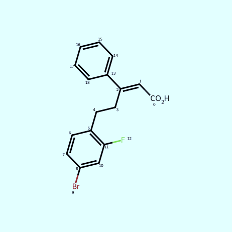 O=C(O)/C=C(\CCc1ccc(Br)cc1F)c1ccccc1